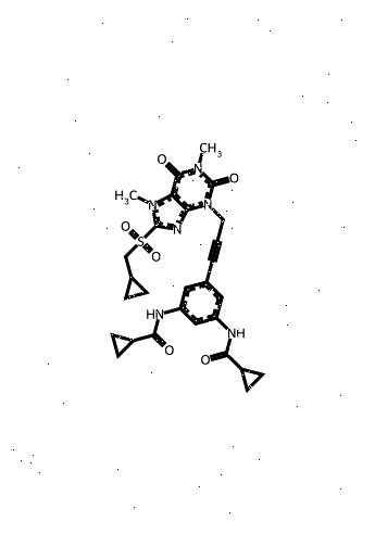 Cn1c(=O)c2c(nc(S(=O)(=O)CC3CC3)n2C)n(CC#Cc2cc(NC(=O)C3CC3)cc(NC(=O)C3CC3)c2)c1=O